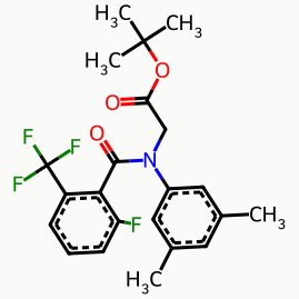 Cc1cc(C)cc(N(CC(=O)OC(C)(C)C)C(=O)c2c(F)cccc2C(F)(F)F)c1